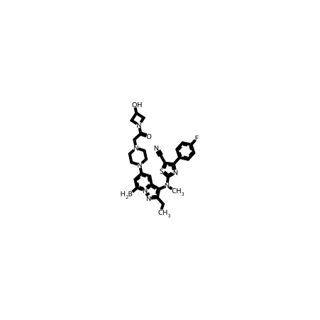 Bc1cc(N2CCN(CC(=O)N3CC(O)C3)CC2)cc2c(N(C)c3nc(-c4ccc(F)cc4)c(C#N)s3)c(CC)nn12